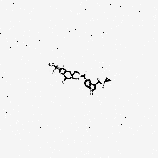 CC(C)(C)n1cc2c(n1)C(=O)CC1(CCN(C(=O)c3ccc4[nH]cc(C(=O)NC5CC5)c4c3)CC1)C2